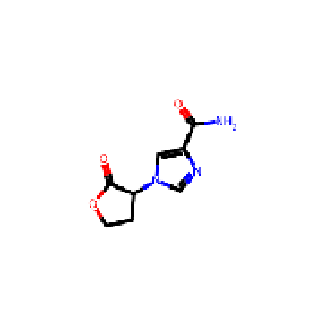 NC(=O)c1cn(C2CCOC2=O)cn1